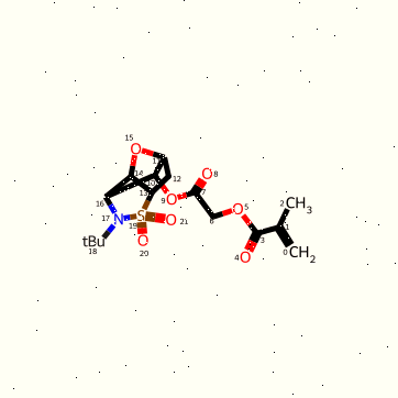 C=C(C)C(=O)OCC(=O)OC1C2CC3C(O2)C1N(C(C)(C)C)S3(=O)=O